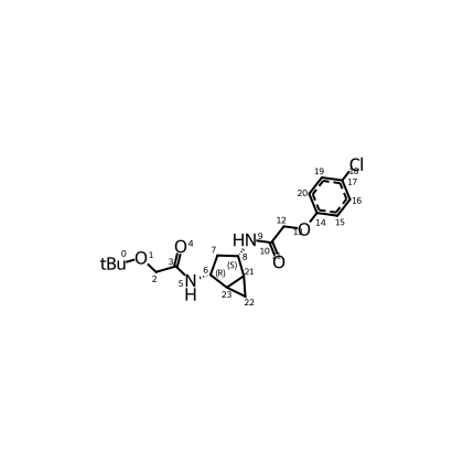 CC(C)(C)OCC(=O)N[C@@H]1C[C@H](NC(=O)COc2ccc(Cl)cc2)C2CC21